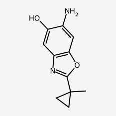 CC1(c2nc3cc(O)c(N)cc3o2)CC1